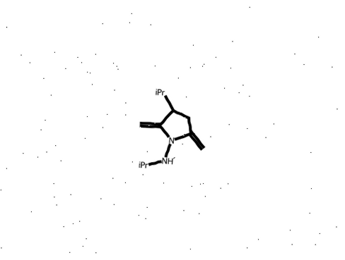 C=C1CC(C(C)C)C(=C)N1NC(C)C